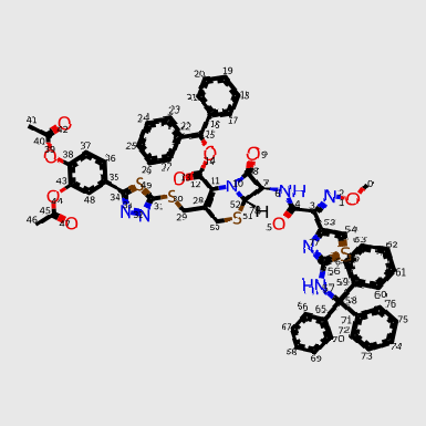 CON=C(C(=O)N[C@@H]1C(=O)N2C(C(=O)OC(c3ccccc3)c3ccccc3)=C(CSc3nnc(-c4ccc(OC(C)=O)c(OC(C)=O)c4)s3)CS[C@@H]12)c1csc(NC(c2ccccc2)(c2ccccc2)c2ccccc2)n1